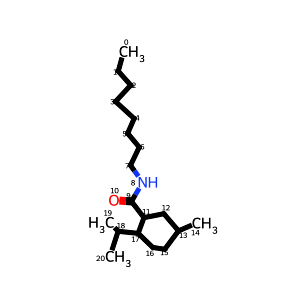 CCCCCCCCNC(=O)C1CC(C)CCC1C(C)C